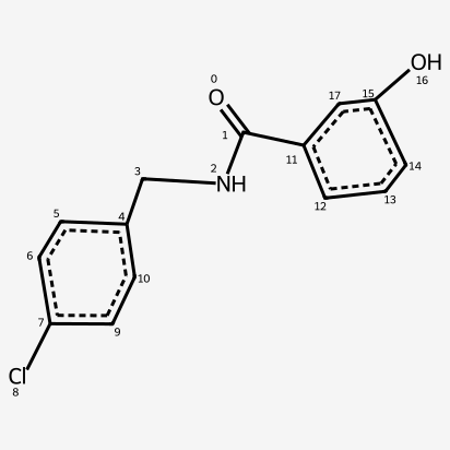 O=C(NCc1ccc(Cl)cc1)c1cccc(O)c1